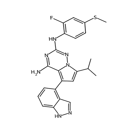 CSc1ccc(Nc2nc(N)c3c(-c4cccc5[nH]ncc45)cc(C(C)C)n3n2)c(F)c1